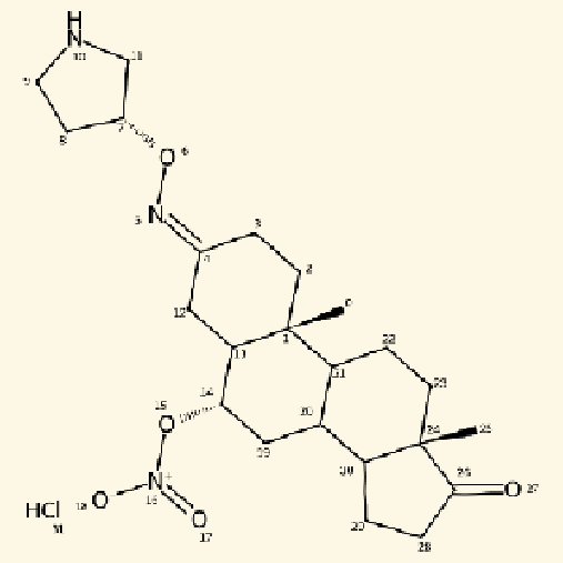 C[C@]12CCC(=NO[C@@H]3CCNC3)CC1[C@@H](O[N+](=O)[O-])CC1C2CC[C@]2(C)C(=O)CCC12.Cl